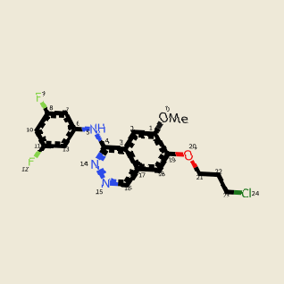 COc1cc2c(Nc3cc(F)cc(F)c3)nncc2cc1OCCCCl